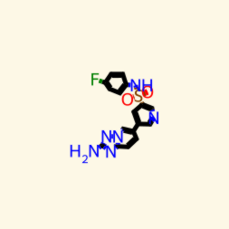 Nc1nc2ccc(-c3cncc(S(=O)(=O)Nc4ccc(F)cc4)c3)cn2n1